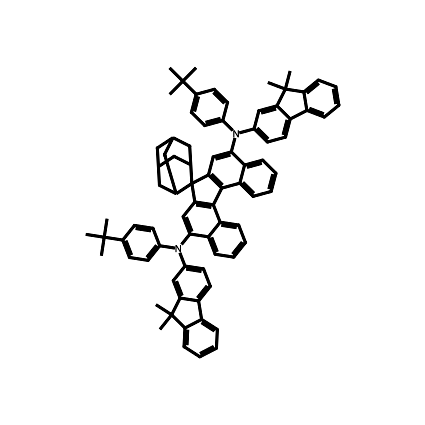 CC(C)(C)c1ccc(N(c2ccc3c(c2)C(C)(C)c2ccccc2-3)c2cc3c(c4ccccc24)-c2c(cc(N(c4ccc(C(C)(C)C)cc4)c4ccc5c(c4)C(C)(C)c4ccccc4-5)c4ccccc24)C32C3CC4CC(C3)CC2C4)cc1